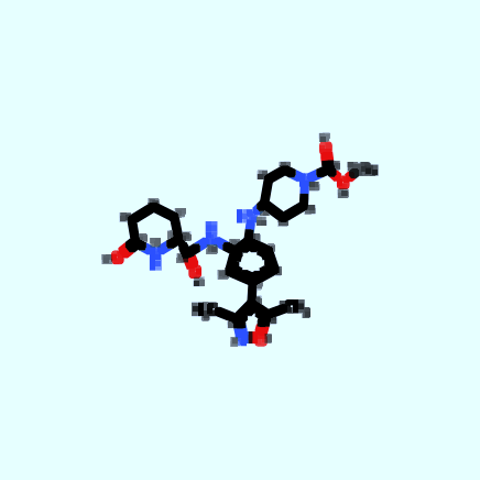 Cc1noc(C)c1-c1ccc(NC2CCN(C(=O)OC(C)(C)C)CC2)c(NC(=O)[C@@H]2CCCC(=O)N2)c1